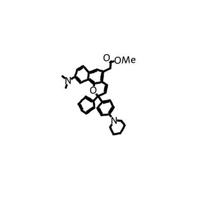 COC(=O)Cc1cc2ccc(N(C)C)cc2c2c1C=CC(c1ccccc1)(c1ccc(N3CCCCC3)cc1)O2